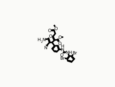 COC(=O)CC1=C(C(=O)OC)C(c2cccc(NC(=O)Nc3c(Br)cccc3Br)c2)C(C#N)=C(N)O1